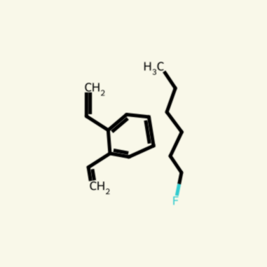 C=Cc1ccccc1C=C.CCCCCCF